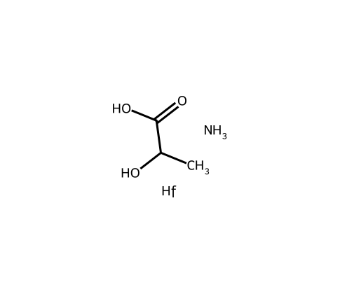 CC(O)C(=O)O.N.[Hf]